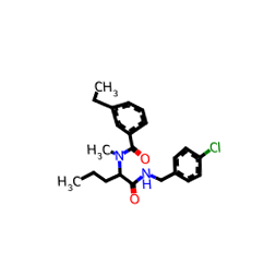 CCCC(C(=O)NCc1ccc(Cl)cc1)N(C)C(=O)c1cccc(CC)c1